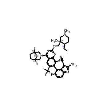 CN1CC/C(=C\F)[C@](C)(COc2nc(N3C[C@H]4CC[C@@H](C3)N4)c3cc(C(F)(F)F)c(-c4c(F)ccc5sc(N)c(C#N)c45)c(F)c3n2)C1